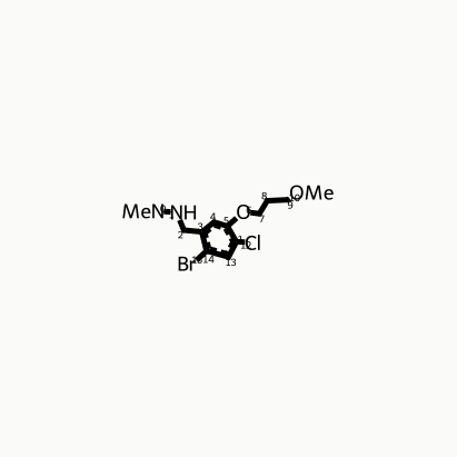 CNNCc1cc(OCCCOC)c(Cl)cc1Br